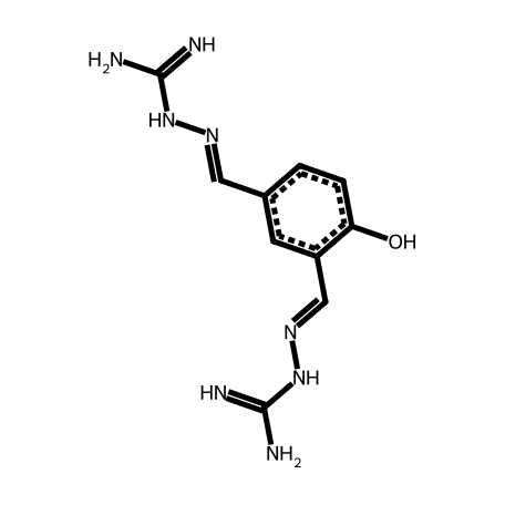 N=C(N)NN=Cc1ccc(O)c(C=NNC(=N)N)c1